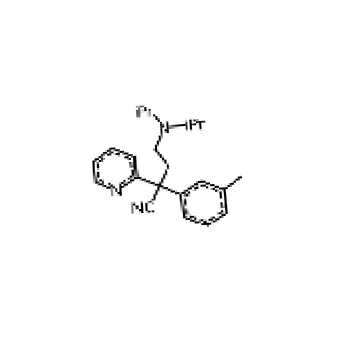 Cc1cccc(C(C#N)(CCN(C(C)C)C(C)C)c2ccccn2)c1